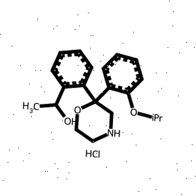 CC(C)Oc1ccccc1C1(c2ccccc2C(C)O)CNCCO1.Cl